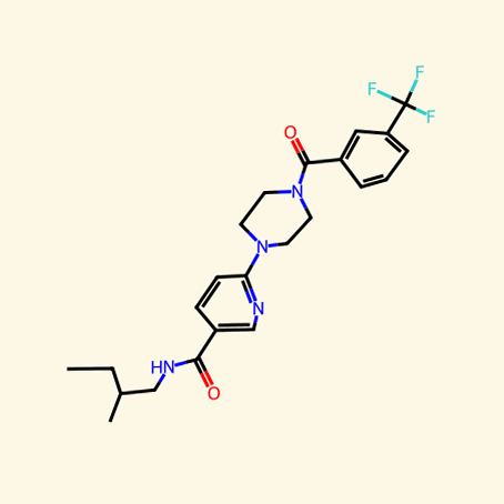 CCC(C)CNC(=O)c1ccc(N2CCN(C(=O)c3cccc(C(F)(F)F)c3)CC2)nc1